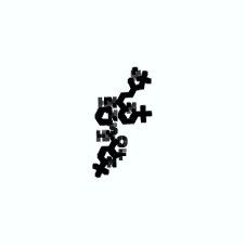 CN1CC(CCC(Nc2cccc(SNC(=O)c3ccc(C(C)(C)C)nc3F)n2)c2cccc(C(C)(C)C)n2)CC1(C)C